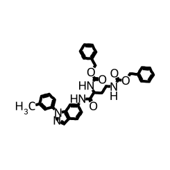 Cc1cccc(-n2ncc3ccc(NC(=O)C(CCNC(=O)OCc4ccccc4)NC(=O)OCc4ccccc4)cc32)c1